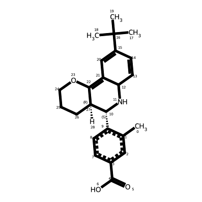 Cc1cc(C(=O)O)ccc1[C@H]1NC2C=CC(C(C)(C)C)=CC2=C2OCCC[C@@H]21